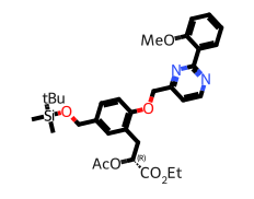 CCOC(=O)[C@@H](Cc1cc(CO[Si](C)(C)C(C)(C)C)ccc1OCc1ccnc(-c2ccccc2OC)n1)OC(C)=O